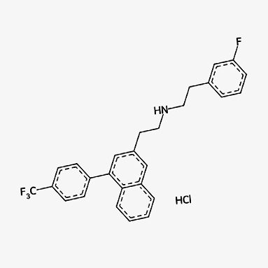 Cl.Fc1cccc(CCNCCc2cc(-c3ccc(C(F)(F)F)cc3)c3ccccc3c2)c1